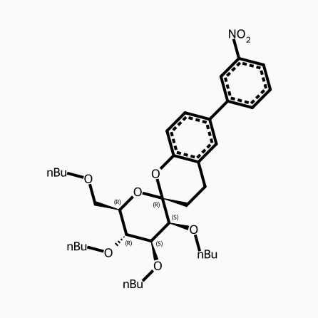 CCCCOC[C@H]1O[C@@]2(CCc3cc(-c4cccc([N+](=O)[O-])c4)ccc3O2)[C@@H](OCCCC)[C@@H](OCCCC)[C@@H]1OCCCC